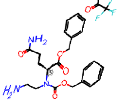 NCCN(C(=O)OCc1ccccc1)[C@@H](CCC(N)=O)C(=O)OCc1ccccc1.O=C(O)C(F)(F)F